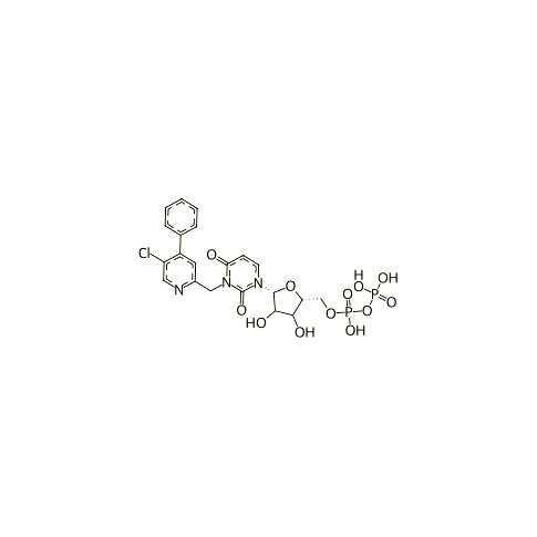 O=c1ccn([C@@H]2O[C@H](COP(=O)(O)OP(=O)(O)O)C(O)C2O)c(=O)n1Cc1cc(-c2ccccc2)c(Cl)cn1